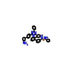 N=C(SC(=N)c1cccc(-c2ccccc2-c2ccccc2-c2nc(-c3ccccc3)nc(-c3ccc(-c4cccc(N)c4)cc3)n2)c1)c1ccccc1